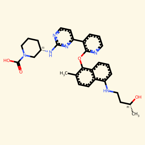 Cc1ccc2c(NCC[C@@H](C)O)cccc2c1Oc1ncccc1-c1ccnc(N[C@H]2CCCN(C(=O)O)C2)n1